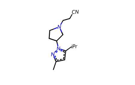 Cc1cc(C(C)C)n(C2CCN(CCC#N)C2)n1